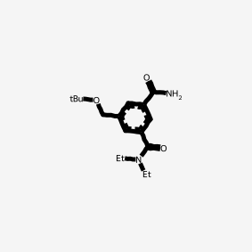 CCN(CC)C(=O)c1cc(COC(C)(C)C)cc(C(N)=O)c1